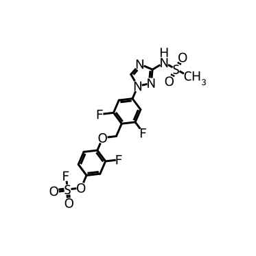 CS(=O)(=O)Nc1ncn(-c2cc(F)c(COc3ccc(OS(=O)(=O)F)cc3F)c(F)c2)n1